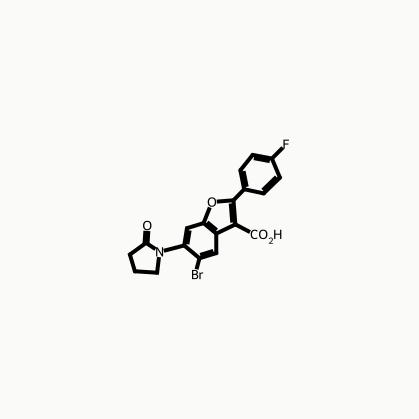 O=C(O)c1c(-c2ccc(F)cc2)oc2cc(N3CCCC3=O)c(Br)cc12